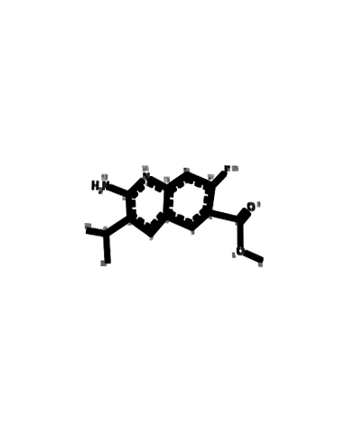 COC(=O)c1cc2cc(C(C)C)c(N)nc2cc1F